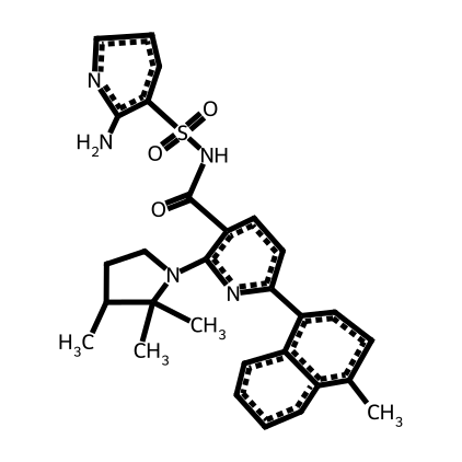 Cc1ccc(-c2ccc(C(=O)NS(=O)(=O)c3cccnc3N)c(N3CCC(C)C3(C)C)n2)c2ccccc12